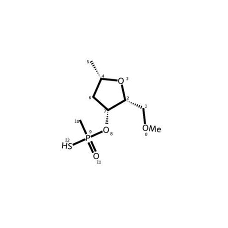 COC[C@H]1O[C@@H](C)C[C@H]1OP(C)(=O)S